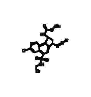 CC(C)CNS(=O)(=O)c1cc2c(c3cnc(Cl)cc13)C(NC(=O)OC(C)(C)C)CC2N=[N+]=[N-]